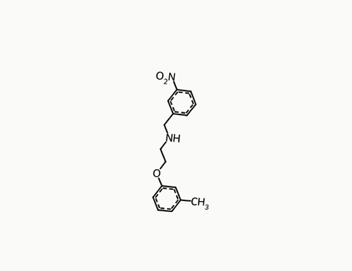 Cc1cccc(OCCNCc2cccc([N+](=O)[O-])c2)c1